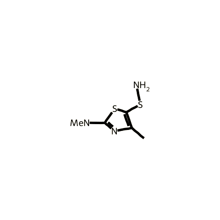 CNc1nc(C)c(SN)s1